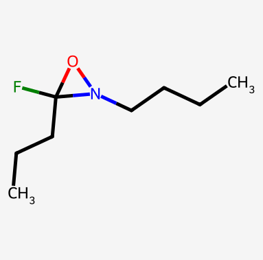 CCCCN1OC1(F)CCC